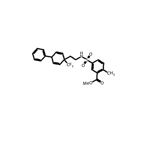 COC(=O)c1cc(S(=O)(=O)NCCC2(C(F)(F)F)C=CC(c3ccccc3)C=C2)ccc1C